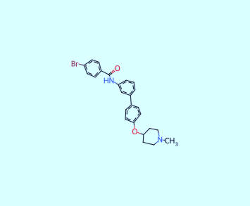 CN1CCC(Oc2ccc(-c3cccc(NC(=O)c4ccc(Br)cc4)c3)cc2)CC1